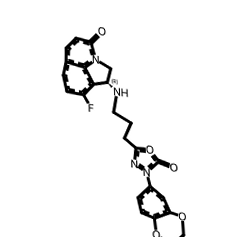 O=c1oc(CCCN[C@H]2Cn3c(=O)ccc4ccc(F)c2c43)nn1-c1ccc2c(c1)OCCO2